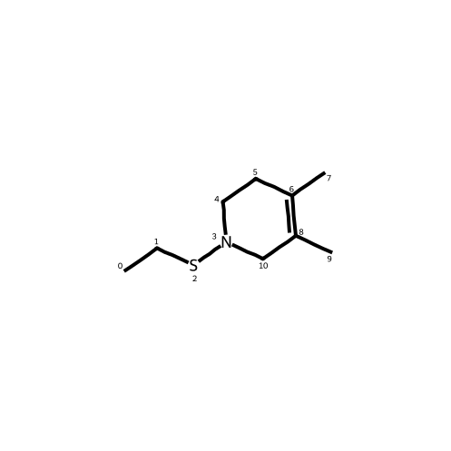 CCSN1CCC(C)=C(C)C1